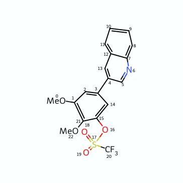 COc1cc(-c2cnc3ccccc3c2)cc(OS(=O)(=O)C(F)(F)F)c1OC